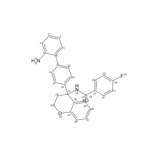 Nc1ccccc1-c1ccc(C2(NC(=O)c3ccc(F)cc3)CCOc3cccnc32)cc1